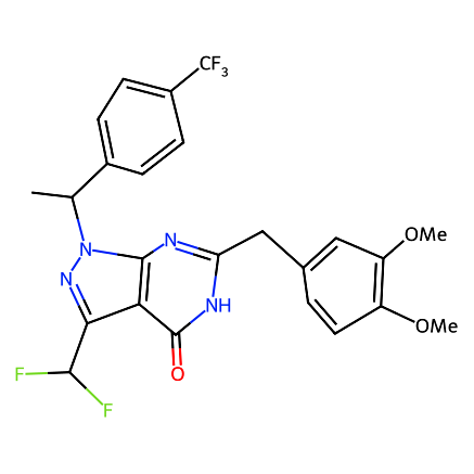 COc1ccc(Cc2nc3c(c(C(F)F)nn3C(C)c3ccc(C(F)(F)F)cc3)c(=O)[nH]2)cc1OC